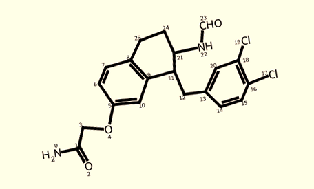 NC(=O)COc1ccc2c(c1)C(Cc1ccc(Cl)c(Cl)c1)C(NC=O)CC2